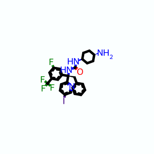 N[C@H]1CC[C@H](NC(=O)N[C@@](Cc2ccccc2)(c2cc(F)cc(C(F)(F)F)c2)c2ccc(I)cn2)CC1